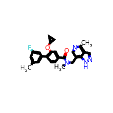 Cc1cc(F)cc(-c2ccc(C(=O)N(C)Cc3cnc(C)c4cn[nH]c34)cc2OC2CC2)c1